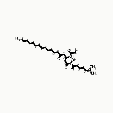 CCCCCCCCCCCCCC(=O)CC(CC(=O)P(O)C(=O)CCCCN(C)C)NC(=O)CC